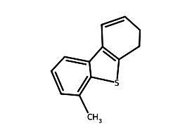 Cc1cccc2c3c(sc12)CCC=C3